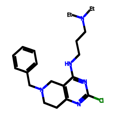 CCN(CC)CCCNc1nc(Cl)nc2c1CN(Cc1ccccc1)CC2